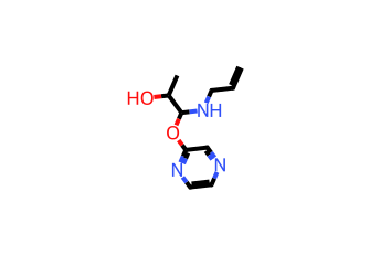 C=CCNC(Oc1cnccn1)C(C)O